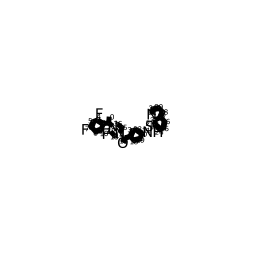 CC(c1c(F)cc(F)cc1F)N1CCN(C(=O)c2ccc(NSc3cccc4cccnc34)cc2)CC1